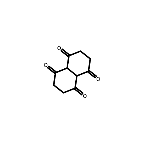 O=C1CCC(=O)C2C(=O)CCC(=O)C12